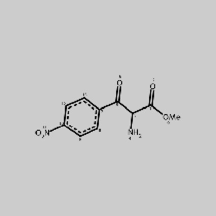 COC(=O)C(N)C(=O)c1ccc([N+](=O)[O-])cc1